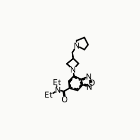 CCN(CC)C(=O)c1cc(N2CC(CN3CCCC3)C2)c2nonc2c1